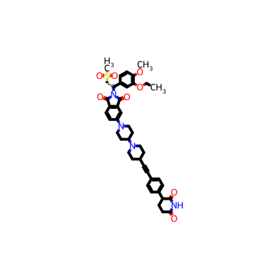 CCOc1cc([C@@H](CS(C)(=O)=O)N2C(=O)c3ccc(N4CCC(N5CCC(C#Cc6ccc(C7CCC(=O)NC7=O)cc6)CC5)CC4)cc3C2=O)ccc1OC